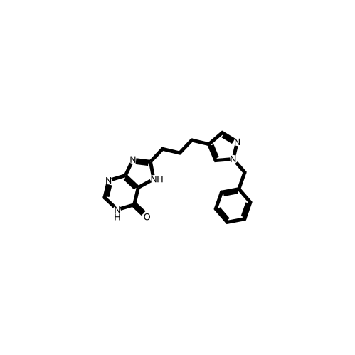 O=c1[nH]cnc2nc(CCCc3cnn(Cc4ccccc4)c3)[nH]c12